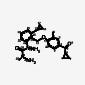 Cc1cc(C(=O)C2CC2)ccc1OCc1c(C2CC2)cccc1N(N)C(=O)N(C)N